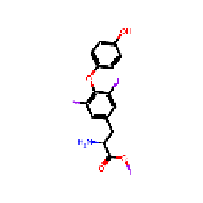 N[C@@H](Cc1cc(I)c(Oc2ccc(O)cc2)c(I)c1)C(=O)OI